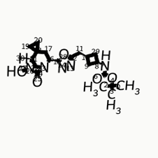 CC(C)(C)OC(=O)N[C@H]1C[C@@H](Cc2nnc([C@@H]3CC4(CC4)[C@H]4CN3C(=O)N4O)o2)C1